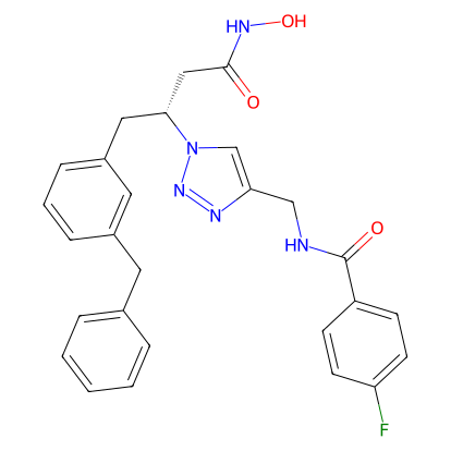 O=C(C[C@@H](Cc1cccc(Cc2ccccc2)c1)n1cc(CNC(=O)c2ccc(F)cc2)nn1)NO